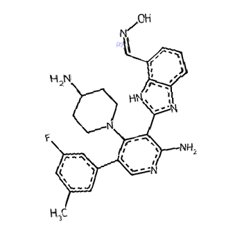 Cc1cc(F)cc(-c2cnc(N)c(-c3nc4cccc(/C=N\O)c4[nH]3)c2N2CCC(N)CC2)c1